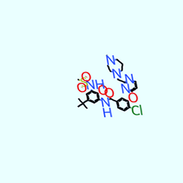 COc1c(NC(=O)c2ccc(Cl)c(Oc3ccnc(CN4CCCN(C)CC4)n3)c2)cc(C(C)(C)C)cc1NS(C)(=O)=O